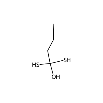 CCCC(O)(S)S